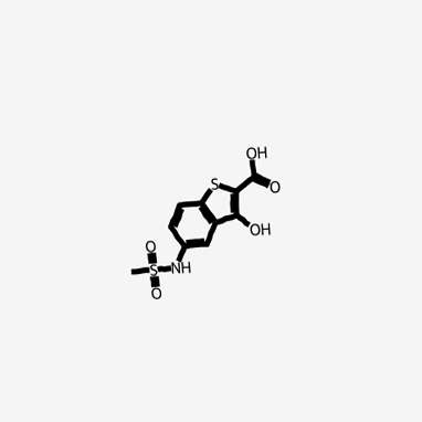 CS(=O)(=O)Nc1ccc2sc(C(=O)O)c(O)c2c1